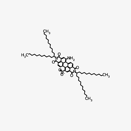 CCCCCCCCCCCC(CCCCCCCCCCC)N1C(=O)c2ccc3c4c([N+](=O)[O-])cc5c6c(ccc(c7c(N)cc(c2c37)C1=O)c64)C(=O)N(C(CCCCCCCCCCC)CCCCCCCCCCC)C5=O